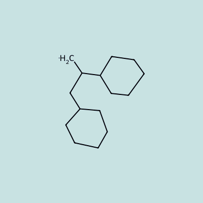 [CH2]C(CC1CCCCC1)C1CCCCC1